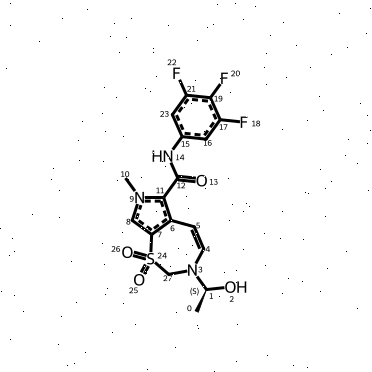 C[C@H](O)N1C=Cc2c(cn(C)c2C(=O)Nc2cc(F)c(F)c(F)c2)S(=O)(=O)C1